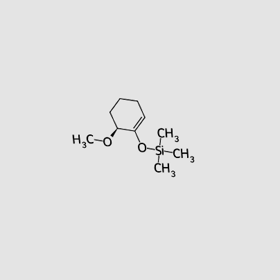 CO[C@H]1CCCC=C1O[Si](C)(C)C